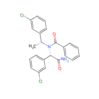 C[C@H](c1cccc(Cl)c1)N(C(=O)c1ccccc1)[C@H](C(N)=O)c1cccc(Cl)c1